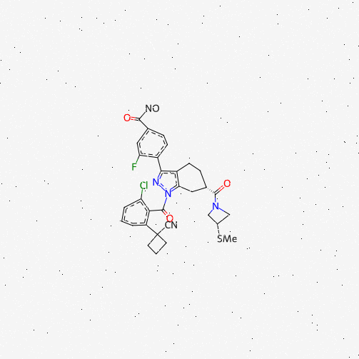 CSC1CN(C(=O)[C@H]2CCc3c(-c4ccc(C(=O)N=O)cc4F)nn(C(=O)c4c(Cl)cccc4C4(C#N)CCC4)c3C2)C1